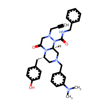 C#CCN1CC(=O)N2[C@@H](Cc3ccc(O)cc3)CN(Cc3cccc(N(C)C)c3)C[C@@H]2N1C(=O)NCc1ccccc1